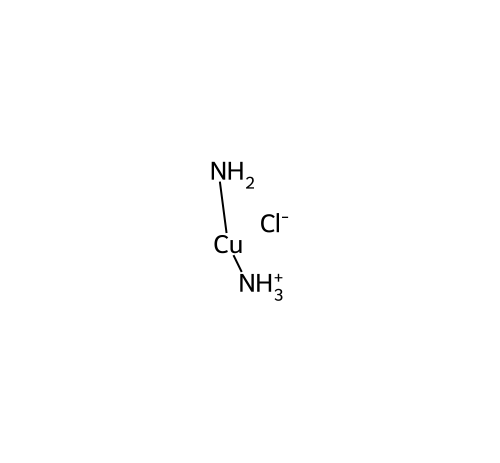 [Cl-].[NH2][Cu][NH3+]